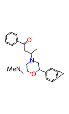 CC(CC(=O)c1ccccc1)N1CCOC(c2ccc3c(c2)C3)C1.CNC